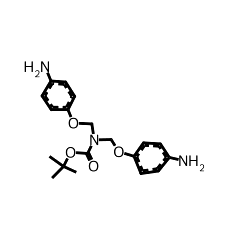 CC(C)(C)OC(=O)N(COc1ccc(N)cc1)COc1ccc(N)cc1